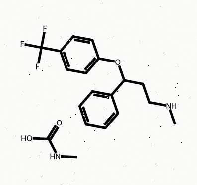 CNC(=O)O.CNCCC(Oc1ccc(C(F)(F)F)cc1)c1ccccc1